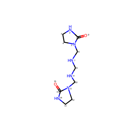 O=C1NCCN1CNCNCN1CCNC1=O